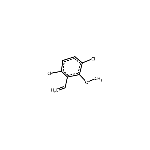 C=Cc1c(Cl)ccc(Cl)c1OC